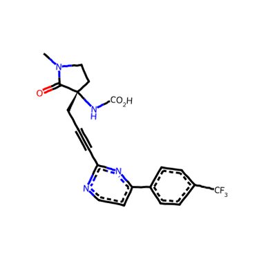 CN1CC[C@](CC#Cc2nccc(-c3ccc(C(F)(F)F)cc3)n2)(NC(=O)O)C1=O